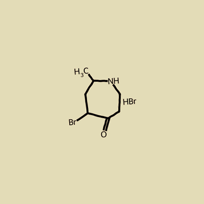 Br.CC1CC(Br)C(=O)CCN1